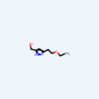 CCOCCc1cc(CO)[nH]n1